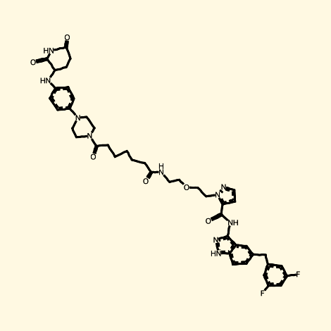 O=C(CCCCCC(=O)N1CCN(c2ccc(NC3CCC(=O)NC3=O)cc2)CC1)NCCOCCn1nccc1C(=O)Nc1n[nH]c2ccc(Cc3cc(F)cc(F)c3)cc12